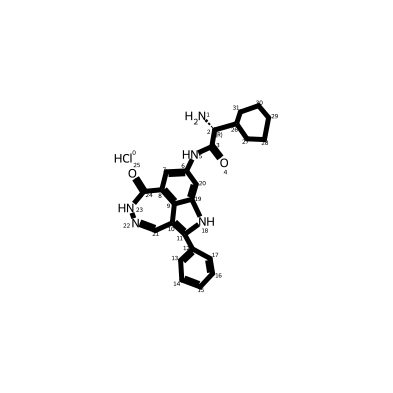 Cl.N[C@@H](C(=O)Nc1cc2c3c(c(-c4ccccc4)[nH]c3c1)C=NNC2=O)C1CCCCC1